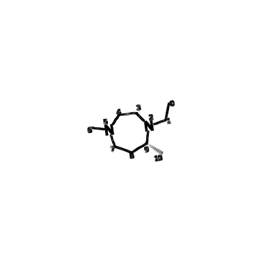 CCN1CCN(C)CC[C@H]1C